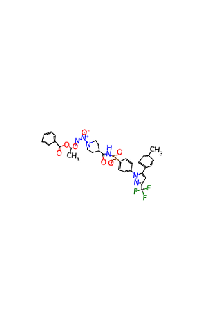 Cc1ccc(-c2cc(C(F)(F)F)nn2-c2ccc(S(=O)(=O)NC(=O)C3CCN(/[N+]([O-])=N\OC(C)OC(=O)c4ccccc4)CC3)cc2)cc1